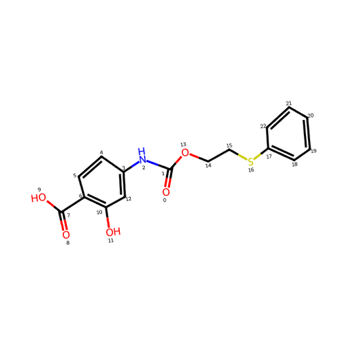 O=C(Nc1ccc(C(=O)O)c(O)c1)OCCSc1ccccc1